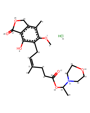 COc1c(C)c2c(c(O)c1CC=C(C)CCC(=O)OC(C)N1CCOCC1)C(=O)OC2.Cl